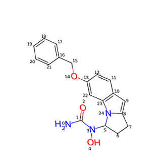 NC(=O)N(O)C1CCc2cc3ccc(OCc4ccccc4)cc3n21